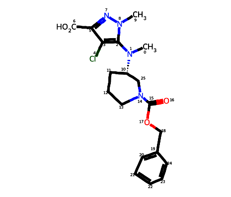 CN(c1c(Cl)c(C(=O)O)nn1C)[C@H]1CCCN(C(=O)OCc2ccccc2)C1